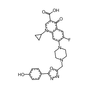 O=C(O)c1cn(C2CC2)c2cc(N3CCN(Cc4nnc(-c5ccc(O)cc5)o4)CC3)c(F)cc2c1=O